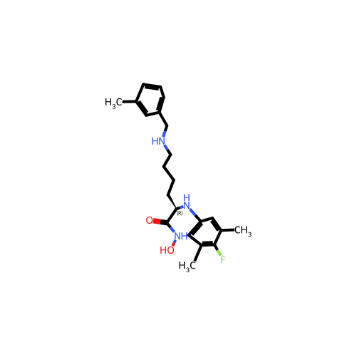 Cc1cccc(CNCCCC[C@@H](Nc2cc(C)c(F)c(C)c2)C(=O)NO)c1